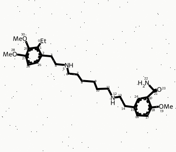 CCc1c(CCNCCCCCCNCCc2ccc(OC)c(C(N)=O)c2)ccc(OC)c1OC